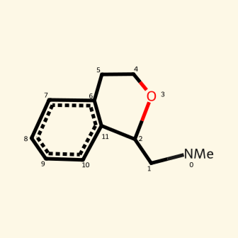 CNCC1OCCc2ccccc21